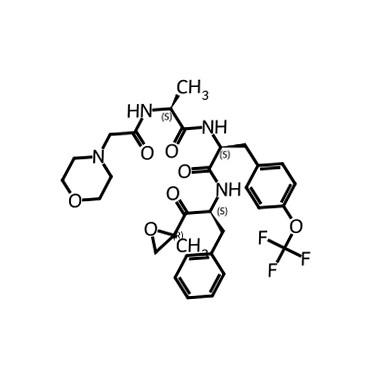 C[C@H](NC(=O)CN1CCOCC1)C(=O)N[C@@H](Cc1ccc(OC(F)(F)F)cc1)C(=O)N[C@@H](Cc1ccccc1)C(=O)[C@@]1(C)CO1